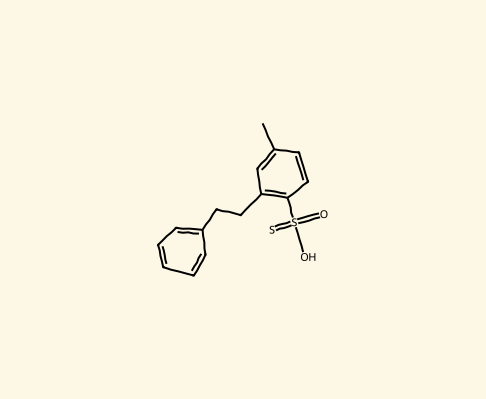 Cc1ccc(S(=O)(O)=S)c(CCc2ccccc2)c1